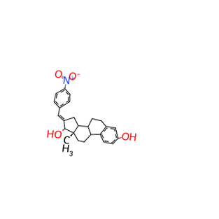 C[C@]12CCC3c4ccc(O)cc4CCC3C1C/C(=C\c1ccc([N+](=O)[O-])cc1)[C@@H]2O